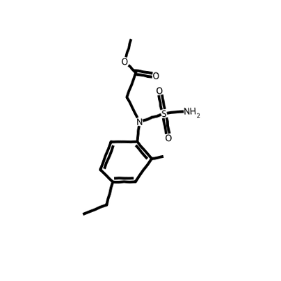 CCc1ccc(N(CC(=O)OC)S(N)(=O)=O)c(C)c1